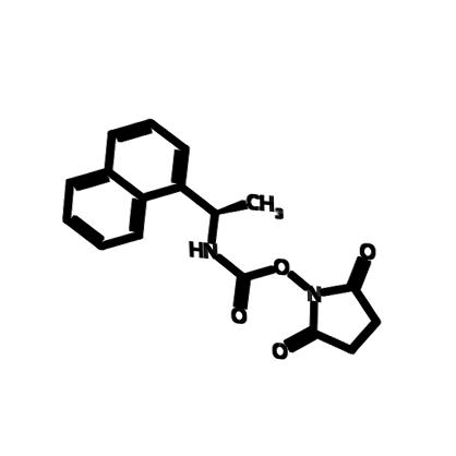 C[C@@H](NC(=O)ON1C(=O)CCC1=O)c1cccc2ccccc12